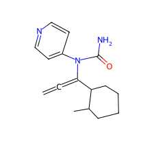 C=C=C(C1CCCCC1C)N(C(N)=O)c1ccncc1